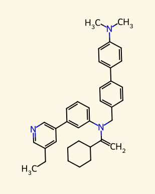 C=C(C1CCCCC1)N(Cc1ccc(-c2ccc(N(C)C)cc2)cc1)c1cccc(-c2cncc(CC)c2)c1